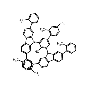 Cc1ccccc1-c1ccc2c3ccc(-c4ccccc4C)cc3n(-c3cc(-c4ccc(C(F)(F)F)cc4C(F)(F)F)cc(-n4c5cc(-c6ccccc6C)ccc5c5ccc(-c6ccccc6C)cc54)c3C#N)c2c1